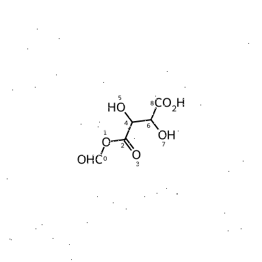 O=COC(=O)C(O)C(O)C(=O)O